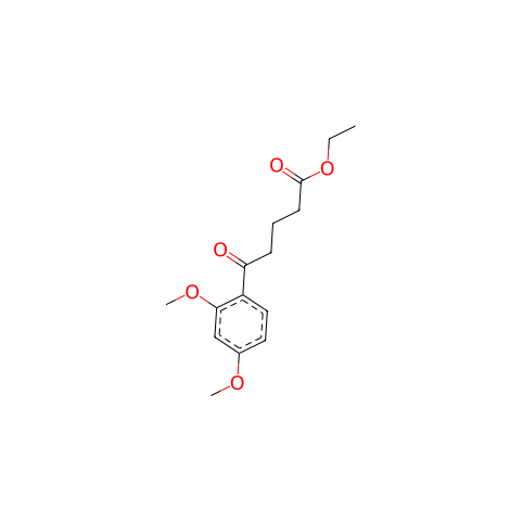 CCOC(=O)CCCC(=O)c1ccc(OC)cc1OC